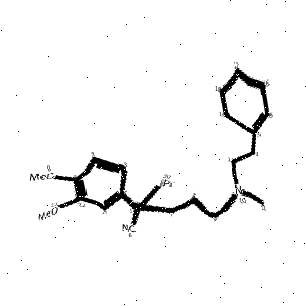 COc1ccc(C(C#N)(CCCN(C)CCC2=CCCCC2)C(C)C)cc1OC